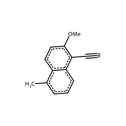 B#Cc1c(OC)ccc2c(C)cccc12